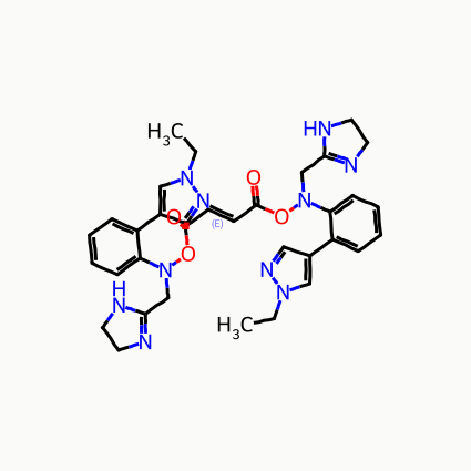 CCn1cc(-c2ccccc2N(CC2=NCCN2)OC(=O)/C=C/C(=O)ON(CC2=NCCN2)c2ccccc2-c2cnn(CC)c2)cn1